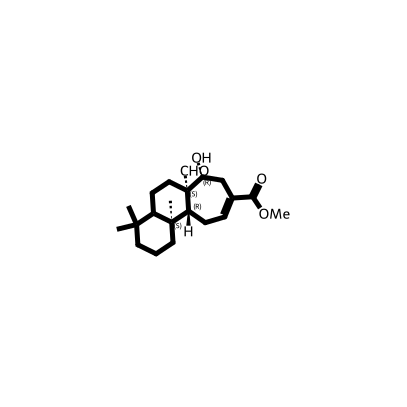 COC(=O)C1=CC[C@H]2[C@@](C=O)(CCC3C(C)(C)CCC[C@@]32C)[C@H](O)C1